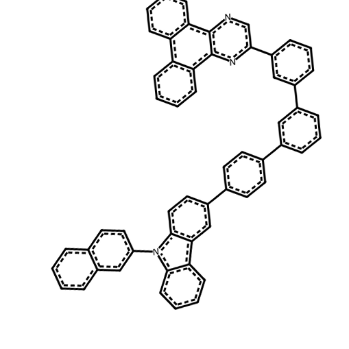 c1cc(-c2ccc(-c3ccc4c(c3)c3ccccc3n4-c3ccc4ccccc4c3)cc2)cc(-c2cccc(-c3cnc4c5ccccc5c5ccccc5c4n3)c2)c1